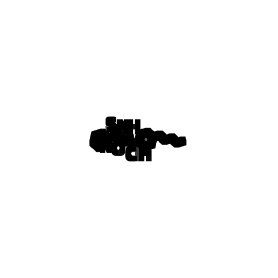 CCCCCC1CCC(COC(=O)C(C(N)=S)c2ccccn2)CC1.Cl